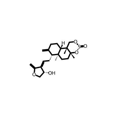 C=C1OC[C@@H](O)/C1=C\C[C@@H]1C(=C)CC[C@H]2[C@@]1(C)CC[C@@]1(C)O[S@@](=O)OC[C@@]21C